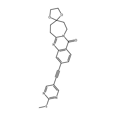 CSc1ncc(C#Cc2ccc3c(=O)n4c(nc3c2)CCC2(CC4)OCCO2)cn1